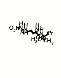 CB(C)[C@H](CC(C)C)NC(=O)[C@@H](N)CCCNC(=N)N[N+](=O)[O-]